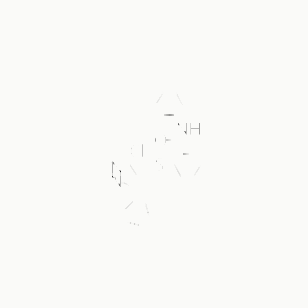 Cn1nc(-c2ccccc2)c(CSc2ccccc2C(=O)Nc2ccc3c(c2)CCC3)c1Cl